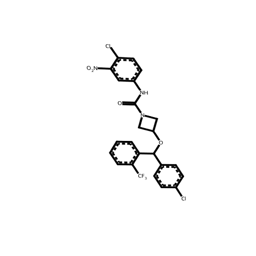 O=C(Nc1ccc(Cl)c([N+](=O)[O-])c1)N1CC(OC(c2ccc(Cl)cc2)c2ccccc2C(F)(F)F)C1